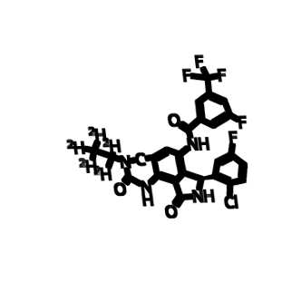 [2H]C([2H])([2H])C([2H])([2H])N1Cc2cc(NC(=O)c3cc(F)cc(C(F)(F)F)c3)c3c(c2NC1=O)C(=O)N[C@@H]3c1cc(F)ccc1Cl